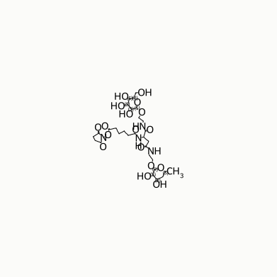 C[C@H]1C[C@@H](O)[C@H](O)[C@H](OCCNC(=O)CC(NC(=O)CCCCC(=O)ON2C(=O)CCC2=O)C(=O)NCCO[C@H]2O[C@H](CO)[C@@H](O)[C@H](O)[C@@H]2O)O1